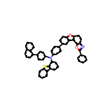 c1ccc(-c2nc3ccc4oc5ccc(-c6ccc(N(c7ccc(-c8cccc9ccccc89)cc7)c7cccc8c7sc7ccccc78)cc6)cc5c4c3o2)cc1